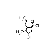 C=CCC1=C(C)[C@@H](O)CC1=C(Cl)Cl